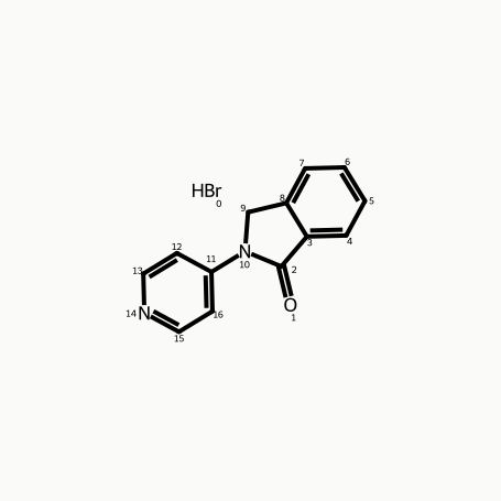 Br.O=C1c2ccccc2CN1c1ccncc1